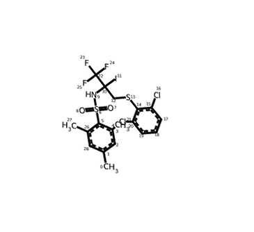 Cc1cc(C)c(S(=O)(=O)NC(I)(CSc2c(Cl)cccc2Cl)C(F)(F)F)c(C)c1